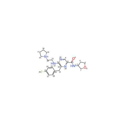 O=C(NC1CCOC1)c1cnc(NCCN2CCCC2)c(Cc2ccc(F)cc2)n1